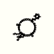 C=C=C=C=C1C(CCCCC)CCOC(=O)CCCCCCCC(CCN2CCOCC2)CCCCCCCC(=O)OCCC1CCCCC